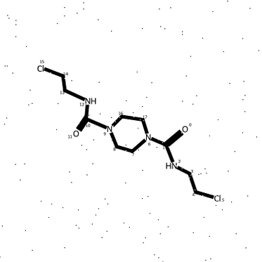 O=C(NCCCl)N1CCN(C(=O)NCCCl)CC1